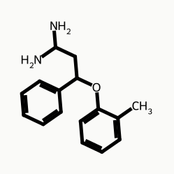 Cc1ccccc1OC(CC(N)N)c1ccccc1